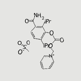 CC(C)c1ccc(C(N)=O)c(C(C)C)c1OC(=O)OC[n+]1ccccc1.CS(=O)(=O)[O-]